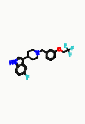 Fc1ccc2[nH]cc(C3CCN(Cc4cccc(OCC(F)(F)F)c4)CC3)c2c1